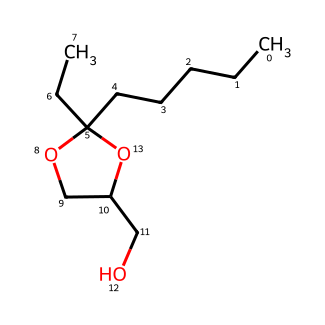 CCCCCC1(CC)OCC(CO)O1